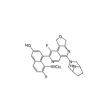 C#Cc1c(F)ccc2cc(O)cc(-c3ncc4c(N5CC6CCC(C5)N6)nc5c(c4c3F)COC5)c12